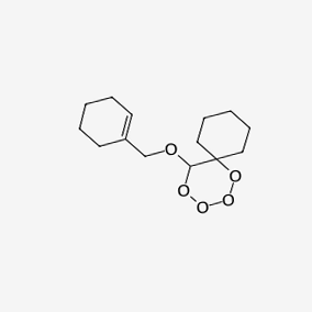 C1=C(COC2OOOOC23CCCCC3)CCCC1